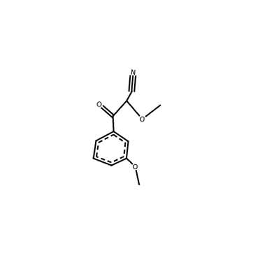 COc1cccc(C(=O)C(C#N)OC)c1